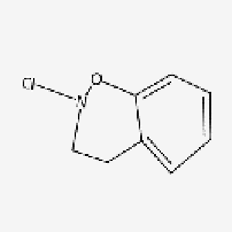 ClN1CCc2ccccc2O1